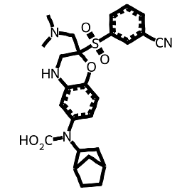 CN(C)CC1(S(=O)(=O)c2cccc(C#N)c2)CNc2cc(N(C(=O)O)C3CC4CCC3C4)ccc2O1